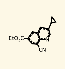 CCOC(=O)c1cc(C#N)c2ncc(C3CC3)cc2c1